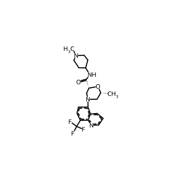 C[C@@H]1CN(c2ccc(C(F)(F)F)c3ncccc23)C[C@H](C(=O)NC2CCN(C)CC2)O1